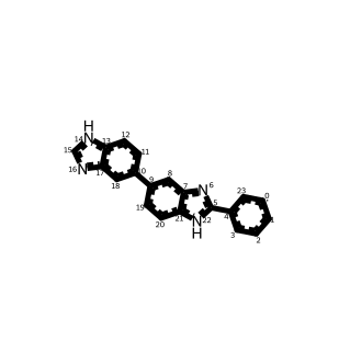 [c]1cccc(-c2nc3cc(-c4ccc5[nH][c]nc5c4)ccc3[nH]2)c1